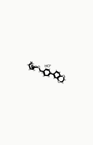 Cl.c1cc(-c2ccc3c(c2)OCCO3)ccc1COC1CN2CCC1CC2